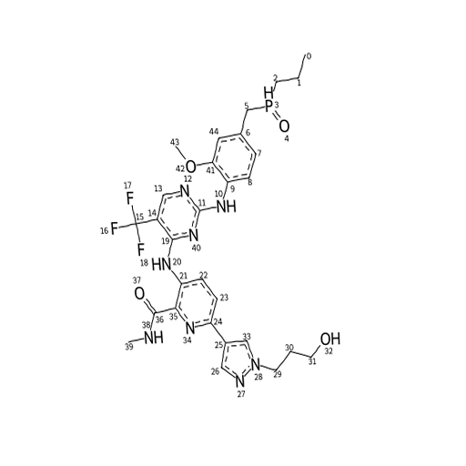 CCC[PH](=O)Cc1ccc(Nc2ncc(C(F)(F)F)c(Nc3ccc(-c4cnn(CCCO)c4)nc3C(=O)NC)n2)c(OC)c1